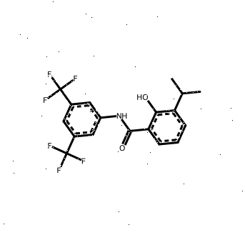 CC(C)c1cccc(C(=O)Nc2cc(C(F)(F)F)cc(C(F)(F)F)c2)c1O